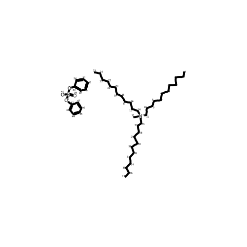 CCCCCCCCCCCC[N+](C)(CCCCCCCCCCCC)CCCCCCCCCCCC.O=P([O-])(Oc1ccccc1)Oc1ccccc1